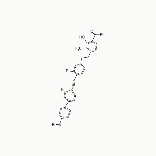 CCSc1ccc(-c2ccc(C#Cc3ccc(CCc4ccc(C(=O)CC)c(O)c4C(F)(F)F)cc3F)c(F)c2)cc1